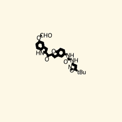 CC(C)(C)c1cc(NC(=O)Nc2ccc3oc(C(=O)c4cc5cc(OC=O)ccc5[nH]4)cc3c2)no1